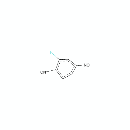 O=Nc1ccc(N=O)c(F)c1